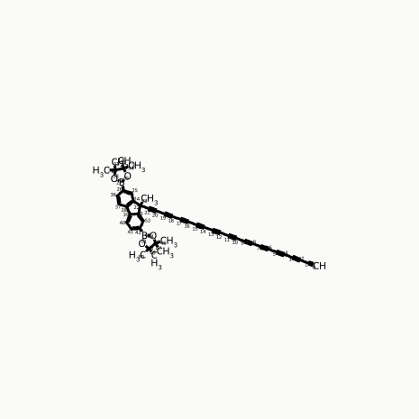 C#CC#CC#CC#CC#CC#CC#CC#CC#CC#CC#CC1(C)c2cc(B3OC(C)(C)C(C)(C)O3)ccc2-c2ccc(B3OC(C)(C)C(C)(C)O3)cc21